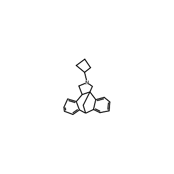 c1ccc2c(c1)C1CC3(CN(C4CCC4)CC23)c2ccccc21